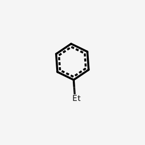 [13CH3][13CH2]c1ccccc1